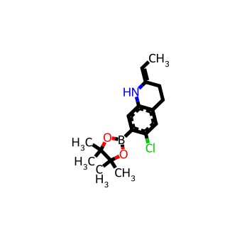 C/C=C1\CCc2cc(Cl)c(B3OC(C)(C)C(C)(C)O3)cc2N1